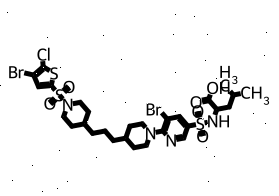 CC(C)CC(NS(=O)(=O)c1cnc(N2CCC(CCCC3CCN(S(=O)(=O)c4cc(Br)c(Cl)s4)CC3)CC2)c(Br)c1)C(=O)O